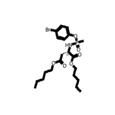 CCCCCOC(=O)C[C@H](NP(C)(=O)Oc1ccc(Br)cc1)C(=O)OCCCCC